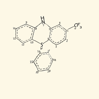 FC(F)(F)c1ccc2c(c1)Nc1ccccc1S2.c1ccccc1